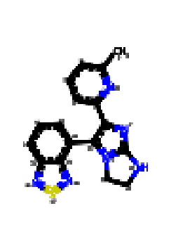 Cc1cccc(-c2nc3n(c2-c2cccc4nsnc24)CCN3)n1